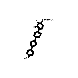 CCCCCCCOc1ccc(-c2ccc(-c3ccc(-c4ccc(CCC)cc4)cc3)cc2)c(F)c1F